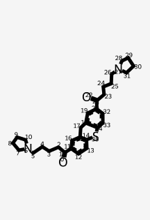 O=C(CCCCN1CCCC1)c1ccc2c(c1)Cc1cc(C(=O)CCCCN3CCCC3)ccc1S2